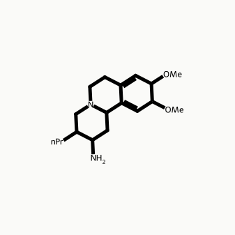 CCCC1CN2CCC3=CC(OC)C(OC)C=C3C2CC1N